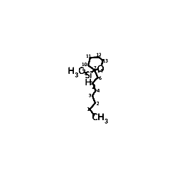 CCCCCCCC1([SiH2]C)CCCCO1